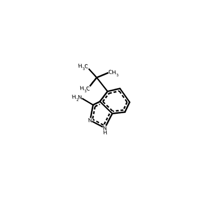 CC(C)(C)c1cccc2[nH]nc(N)c12